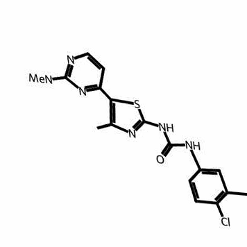 CNc1nccc(-c2sc(NC(=O)Nc3ccc(Cl)c(C)c3)nc2C)n1